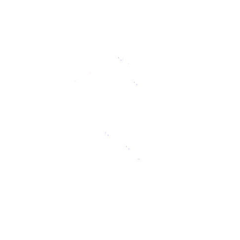 Nc1ncc(-c2cn(C34CC(F)C(C3)C4)c(C=O)n2)cc1OC(F)(F)F